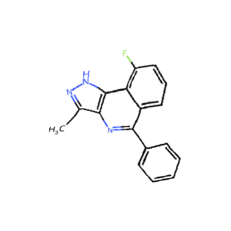 Cc1n[nH]c2c1nc(-c1ccccc1)c1cccc(F)c12